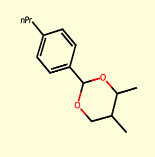 CCCc1ccc(C2OCC(C)C(C)O2)cc1